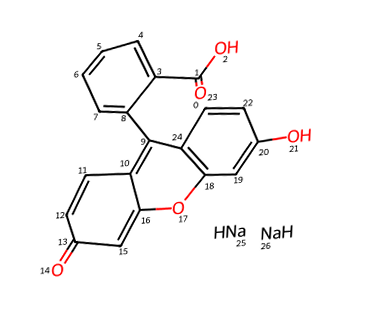 O=C(O)c1ccccc1-c1c2ccc(=O)cc-2oc2cc(O)ccc12.[NaH].[NaH]